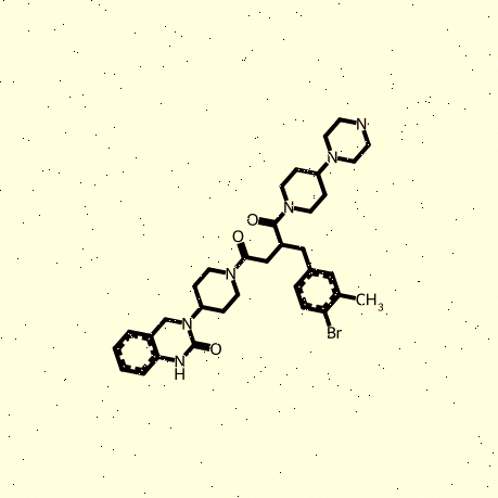 Cc1cc(CC(CC(=O)N2CCC(N3Cc4ccccc4NC3=O)CC2)C(=O)N2CCC(N3CC[N]CC3)CC2)ccc1Br